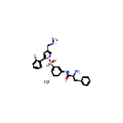 CNCc1cc(-c2ccccc2F)n(S(=O)(=O)c2cccc(NC(=O)C(N)Cc3ccccc3)c2)c1.Cl.Cl